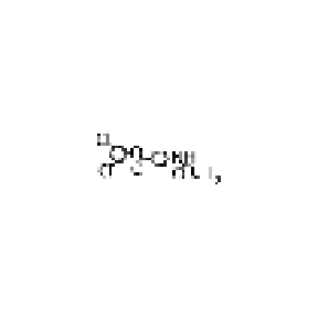 C=CC(=O)Nc1ccc(C(=O)Oc2cc(Cl)cc(Cl)c2)cc1